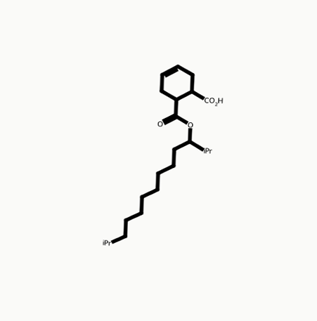 CC(C)CCCCCCCCC(OC(=O)C1CC=CCC1C(=O)O)C(C)C